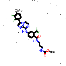 COc1ccc(-c2cnc3c(Nc4ccc(C(=O)NCCCNC(=O)OC(C)(C)C)c(C(F)F)c4)nccn23)c(F)c1F